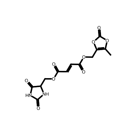 Cc1oc(=O)oc1COC(=O)C=CC(=O)OCC1NC(=O)NC1=O